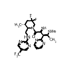 CN/C(C)=C(\C(=N)C(=O)N1CC(F)(F)C[C@@H](C)C1CNc1ncc(C(F)(F)F)cn1)c1ncccn1